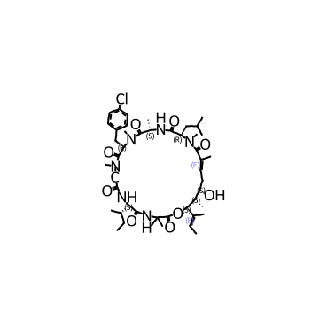 C/C=C(\C)[C@H]1OC(=O)C(C)(C)NC(=O)[C@H](C(C)CC)NC(=O)CN(C)C(=O)[C@@H](Cc2ccc(Cl)cc2)N(C)C(=O)[C@H](C)NC(=O)[C@@H](CC(C)C)N(C)C(=O)/C(C)=C/C[C@H](O)[C@@H]1C